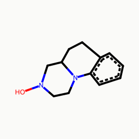 ON1CCN2c3ccccc3CCC2C1